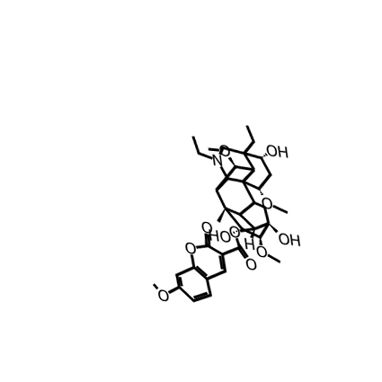 CCN1CC2(CC)C3[C@H](OC)C4C1C3(C1C[C@@]3(O)[C@H](OC(=O)c5cc6ccc(OC)cc6oc5=O)C1[C@]4(C)[C@@H](O)[C@@H]3OC)[C@@H](OC)C[C@H]2O